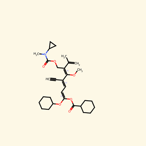 C#CC(=C\C=C(/OC(=O)C1CCCCC1)OC1CCCCC1)/C(OC)=C(\COC(=O)N(C)C1CC1)C(=C)C